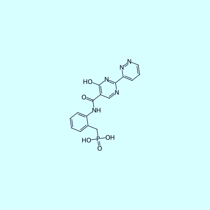 O=C(Nc1ccccc1CP(=O)(O)O)c1cnc(-c2cccnn2)nc1O